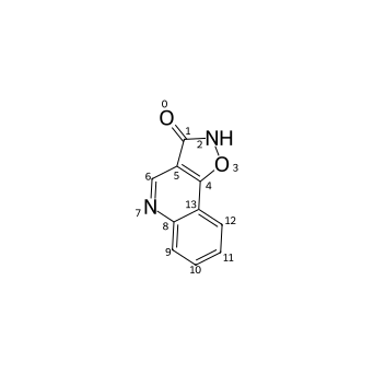 O=c1[nH]oc2c1cnc1ccccc12